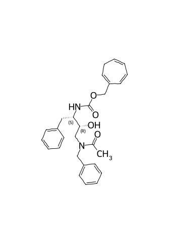 CC(=O)N(Cc1ccccc1)C[C@@H](O)[C@H](Cc1ccccc1)NC(=O)OCC1=CCC=CC=C1